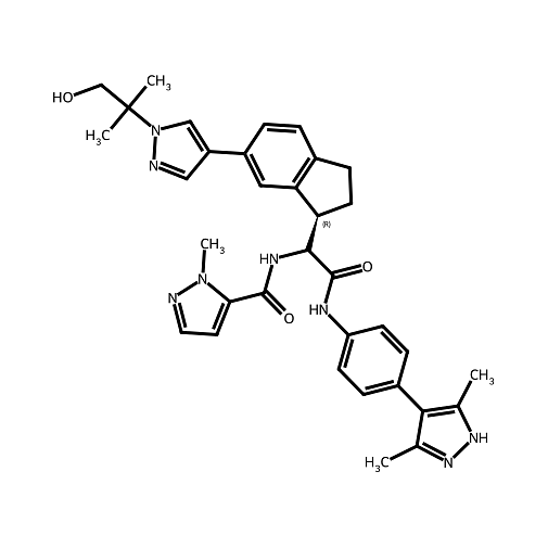 Cc1n[nH]c(C)c1-c1ccc(NC(=O)C(NC(=O)c2ccnn2C)[C@@H]2CCc3ccc(-c4cnn(C(C)(C)CO)c4)cc32)cc1